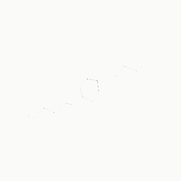 CCCCOC1[CH]CC(OCCCC)[CH]C1